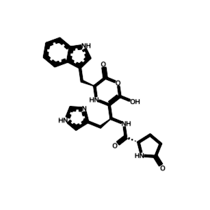 O=C1CC[C@@H](C(=O)N[C@@H](Cc2c[nH]cn2)C2=C(O)OC(=O)[C@H](Cc3c[nH]c4ccccc34)N2)N1